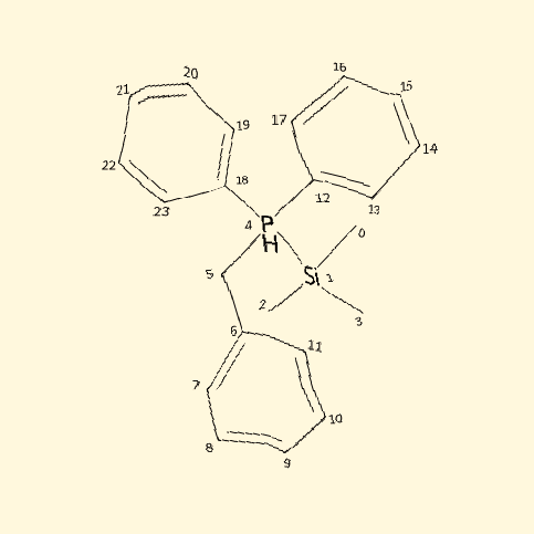 C[Si](C)(C)[PH](Cc1ccccc1)(c1ccccc1)c1ccccc1